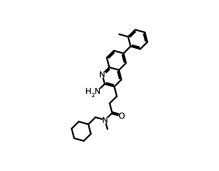 Cc1ccccc1-c1ccc2nc(N)c(CCC(=O)N(C)CC3CCCCC3)cc2c1